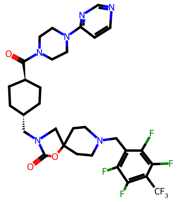 O=C1OC2(CCN(Cc3c(F)c(F)c(C(F)(F)F)c(F)c3F)CC2)CN1C[C@H]1CC[C@H](C(=O)N2CCN(c3ccncn3)CC2)CC1